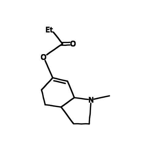 CCC(=O)OC1=CC2C(CC1)CCN2C